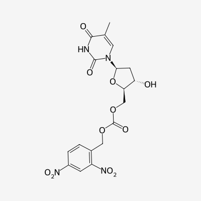 Cc1cn([C@H]2C[C@H](O)[C@@H](COC(=O)OCc3ccc([N+](=O)[O-])cc3[N+](=O)[O-])O2)c(=O)[nH]c1=O